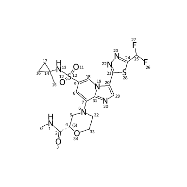 CNC(=O)[C@@H]1CN(c2cc(S(=O)(=O)NC3(C)CC3)cn3c(-c4nnc(C(F)F)s4)cnc23)CCO1